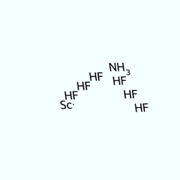 F.F.F.F.F.F.N.[Sc]